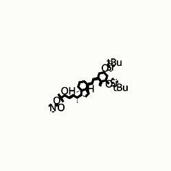 C=C1/C(=C\C=C2/CCC[C@]3(C)[C@@H]([C@H](C)/C=C/[C@@H](O)C(C)(C)OC(=O)N(C)C)CC[C@@H]23)CC(O[Si](C)(C)C(C)(C)C)CC1O[Si](C)(C)C(C)(C)C